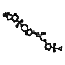 O=C1Cc2cc(S(=O)(=O)N3CCC4(CC3)C[C@@H](NC[C@H](O)COc3cccc(S(=O)(=O)C5CC5)c3)CO4)cnc2N1